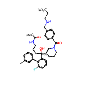 COC(=O)NCCC[C@@](O)(c1cccc(F)c1-c1cccc(C)c1)[C@@H]1CCCN(C(=O)c2ccc(CNCCC(=O)O)cc2)C1